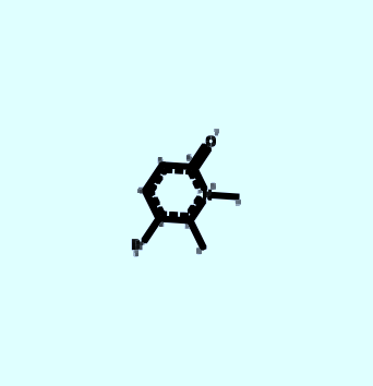 Cc1c(Br)ccc(=O)n1C